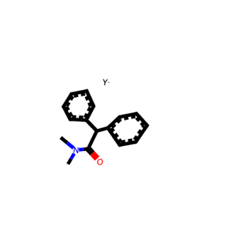 CN(C)C(=O)C(c1ccccc1)c1ccccc1.[Y]